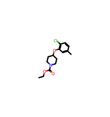 CCOC(=O)N1CCC(Oc2cc(C)ccc2Cl)CC1